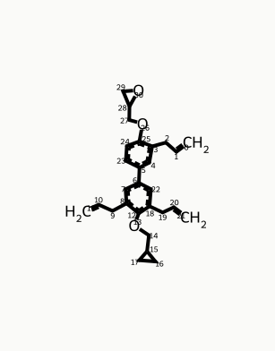 C=CCc1cc(-c2cc(CC=C)c(OCC3CC3)c(CC=C)c2)ccc1OCC1CO1